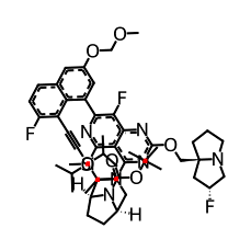 COCOc1cc(-c2nc(OC)c3c(N4C[C@H]5CC[C@@H](C4)N5C(=O)OC(C)(C)C)nc(OC[C@@]45CCCN4C[C@H](F)C5)nc3c2F)c2c(C#C[Si](C(C)C)(C(C)C)C(C)C)c(F)ccc2c1